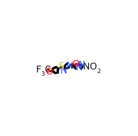 C[C@]1(CN2Cc3nc(-c4ccc(OC(F)(F)F)cc4)sc3C2)Cn2cc([N+](=O)[O-])nc2O1